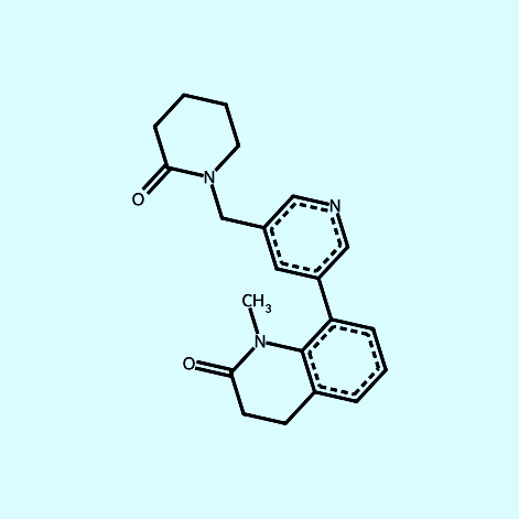 CN1C(=O)CCc2cccc(-c3cncc(CN4CCCCC4=O)c3)c21